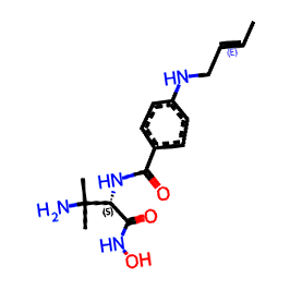 C/C=C/CNc1ccc(C(=O)N[C@H](C(=O)NO)C(C)(C)N)cc1